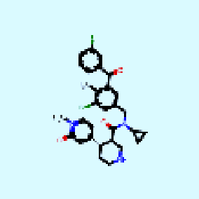 Cc1c(Br)cc(CN(C(=O)C2CNCC[C@@H]2c2ccn(C)c(=O)c2)C2CC2)cc1C(=O)c1cccc(F)c1